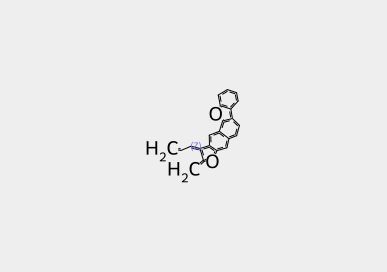 C=C/C=c1\c(=C)oc2cc3ccc4c5ccccc5oc4c3cc12